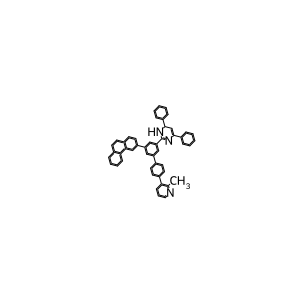 Cc1ncccc1-c1ccc(-c2cc(C3=NC(c4ccccc4)=CC(c4ccccc4)N3)cc(-c3ccc4ccc5ccccc5c4c3)c2)cc1